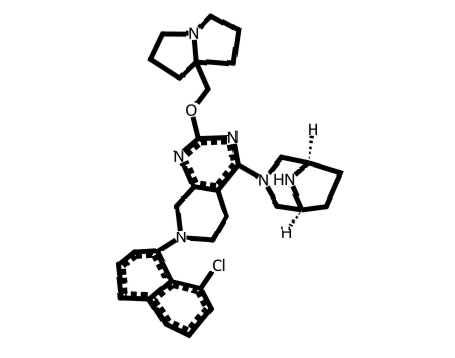 Clc1cccc2cccc(N3CCc4c(nc(OCC56CCCN5CCC6)nc4N4C[C@H]5CC[C@@H](C4)N5)C3)c12